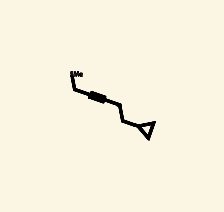 CSCC#CCCC1[CH]C1